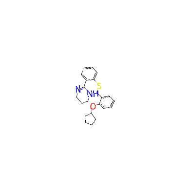 c1ccc(OC2CCCC2)c(CSc2ccccc2C2=NCCCN2)c1